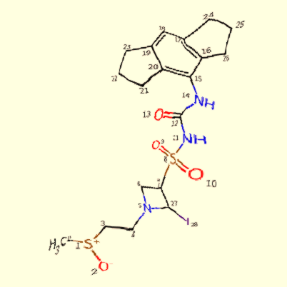 C[S+]([O-])CCN1CC(S(=O)(=O)NC(=O)Nc2c3c(cc4c2CCC4)CCC3)C1I